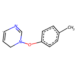 Cc1ccc(ON2C=N[C]=CC2)cc1